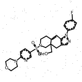 COCC12Cc3cnn(-c4ccc(F)cc4)c3C=C1CCN(S(=O)(=O)c1ccc(N3CCOCC3)nc1)C2